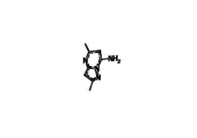 Cc1cc(N)n2nc(C)cc2n1